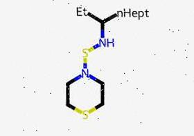 CCCCCCCC(CC)NSN1CCSCC1